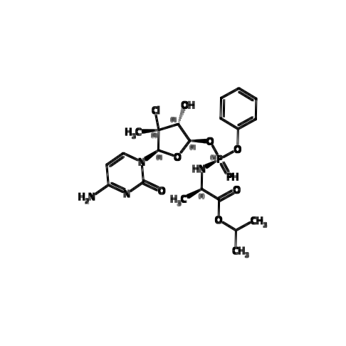 CC(C)OC(=O)[C@@H](C)N[P@](=P)(Oc1ccccc1)O[C@H]1O[C@@H](n2ccc(N)nc2=O)[C@](C)(Cl)[C@@H]1O